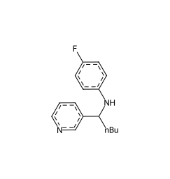 CCCCC(Nc1ccc(F)cc1)c1cccnc1